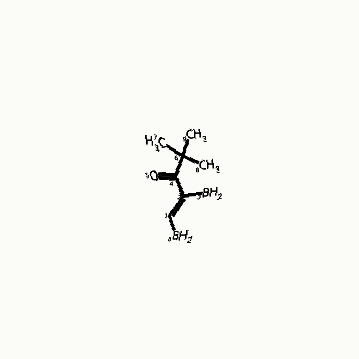 B/C=C(\B)C(=O)C(C)(C)C